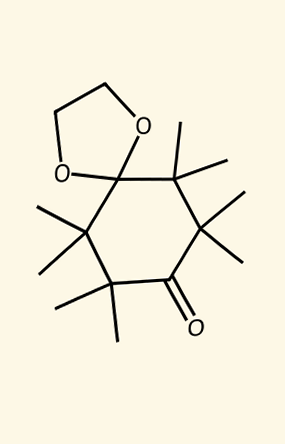 CC1(C)C(=O)C(C)(C)C(C)(C)C2(OCCO2)C1(C)C